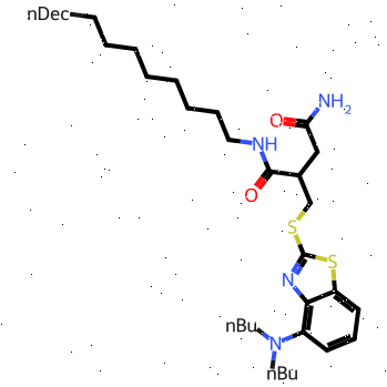 CCCCCCCCCCCCCCCCCCNC(=O)C(CSc1nc2c(N(CCCC)CCCC)cccc2s1)CC(N)=O